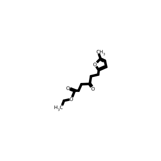 CCOC(=O)CCC(=O)CCc1ccc(C)o1